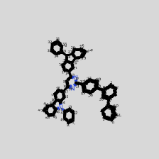 c1ccc(-c2cccc(-c3ccc(-c4nc(-c5ccc6c(c5)-c5ccccc5C6c5ccccc5)cc(-c5ccc6c7ccccc7n(-c7ccccc7)c6c5)n4)cc3)c2)cc1